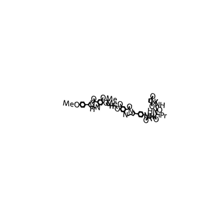 COc1ccc(C2=CN3C(=O)c4cc(OC)c(OCC(C)(C)C(C)(C)COc5cc6c(cc5OC)C(=O)N5C=C(c7ccc(NC(=O)C(C)NC(=O)C(NC(=O)CNC(C)N8C(=O)C=CC8=O)C(C)C)cc7)CC5C=N6)cc4N=C[C@@H]3C2)cc1